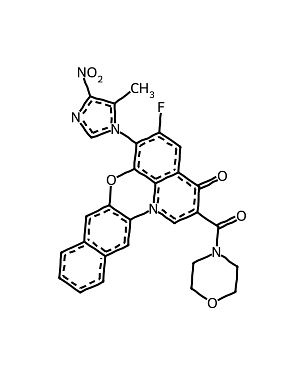 Cc1c([N+](=O)[O-])ncn1-c1c(F)cc2c(=O)c(C(=O)N3CCOCC3)cn3c2c1Oc1cc2ccccc2cc1-3